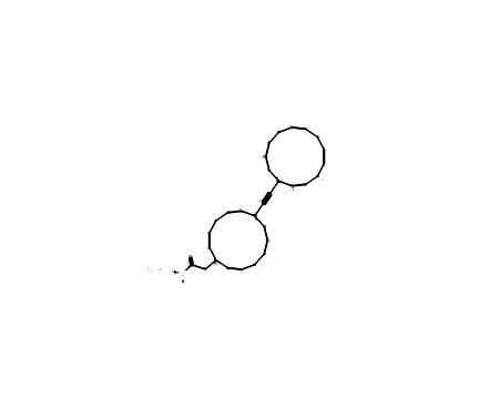 CON(C)C(=O)CC1CCCCCCC(C#CC2CCCCCCCCCCCC2)CCCCC1